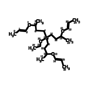 CC=COC(C)CC[Si](CCC(C)OC=CC)(CCC(C)OC=CC)OCC